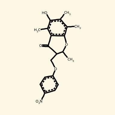 Cc1c(C)c2c(c(C)c1O)C(=O)C(COc1ccc([N+](=O)[O-])cc1)C(C)O2